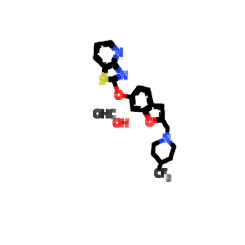 FC(F)(F)C1CCN(Cc2cc3ccc(Oc4nc5ncccc5s4)cc3o2)CC1.O=CO